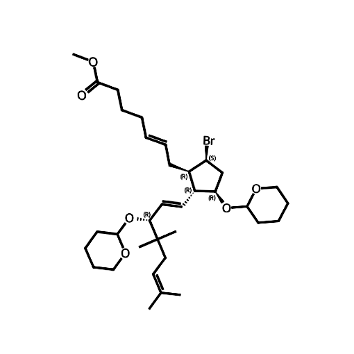 COC(=O)CCCC=CC[C@@H]1[C@@H](C=C[C@@H](OC2CCCCO2)C(C)(C)CC=C(C)C)[C@H](OC2CCCCO2)C[C@@H]1Br